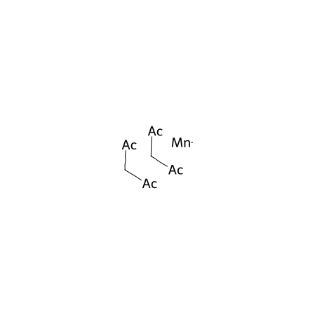 CC(=O)CC(C)=O.CC(=O)CC(C)=O.[Mn]